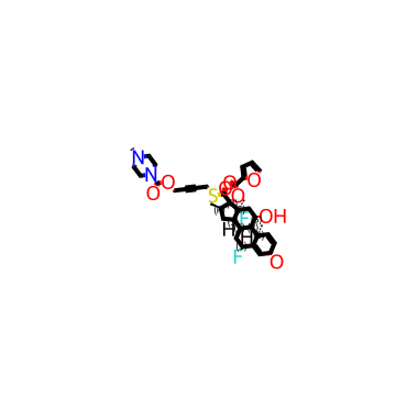 C[C@@H]1C[C@H]2[C@@H]3C[C@H](F)C4=CC(=O)C=C[C@]4(C)[C@@]3(F)[C@@H](O)C[C@]2(C)[C@@]1(OC(=O)c1ccco1)C(=O)SCC#CCOC(=O)N1CCN(C)CC1